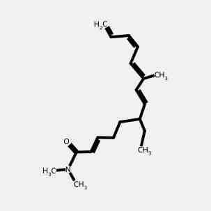 C=C\C=C/C=C(C)/C=C/C(CC)CC/C=C/C(=O)N(C)C